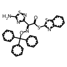 Nc1nc(C(=NOC(c2ccccc2)(c2ccccc2)c2ccccc2)C(=O)Sc2nc3ccccc3s2)ns1